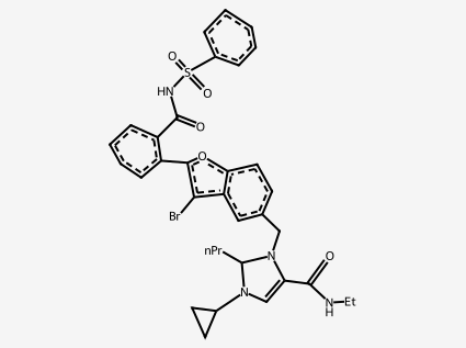 CCCC1N(Cc2ccc3oc(-c4ccccc4C(=O)NS(=O)(=O)c4ccccc4)c(Br)c3c2)C(C(=O)NCC)=CN1C1CC1